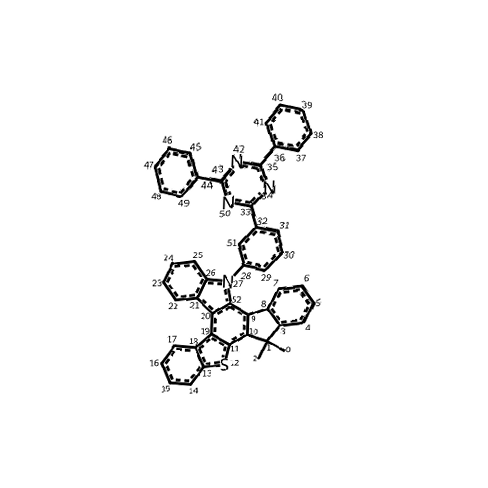 CC1(C)c2ccccc2-c2c1c1sc3ccccc3c1c1c3ccccc3n(-c3cccc(-c4nc(-c5ccccc5)nc(-c5ccccc5)n4)c3)c21